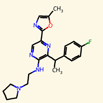 Cc1cnc(-c2cnc(NCCN3CCCC3)c(C(C)c3ccc(F)cc3)n2)o1